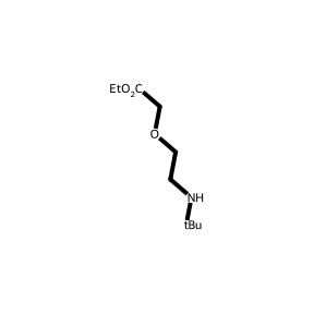 CCOC(=O)COCCNC(C)(C)C